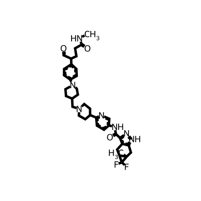 CNC(=O)CCC(C=O)c1ccc(N2CCC(CN3CCC(c4ccc(NC(=O)c5n[nH]c6c5CC5C(F)(F)C5(C)C6)cn4)CC3)CC2)cc1